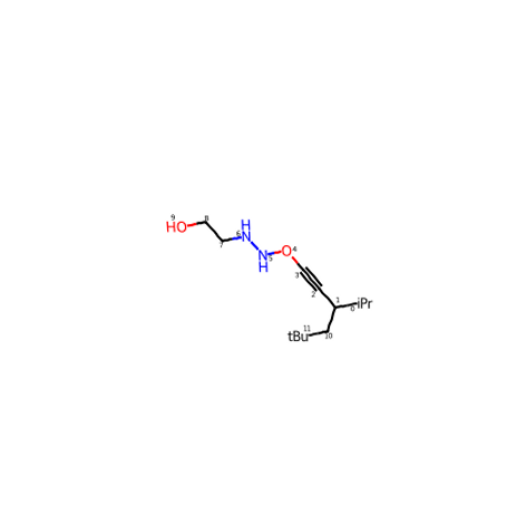 CC(C)C(C#CONNCCO)CC(C)(C)C